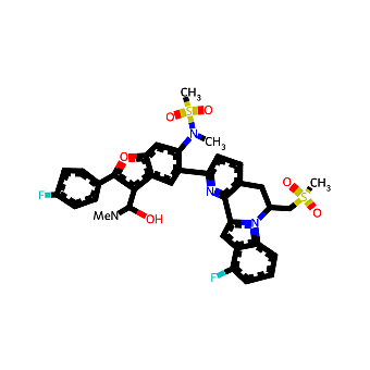 CNC(O)c1c(-c2ccc(F)cc2)oc2cc(N(C)S(C)(=O)=O)c(-c3ccc4c(n3)-c3cc5c(F)cccc5n3C(CS(C)(=O)=O)C4)cc12